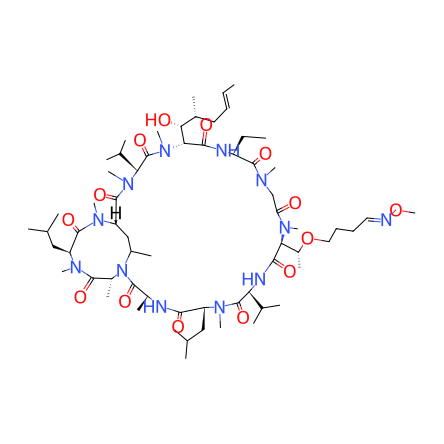 C/C=C/C[C@@H](C)[C@@H](O)[C@@H]1C(=O)N[C@@H](CC)C(=O)N(C)CC(=O)N(C)[C@@H]([C@@H](C)OCCC/C=N/OC)C(=O)N[C@@H](C(C)C)C(=O)N(C)[C@@H](CC(C)C)C(=O)N[C@@H](C)C(=O)N2C(C)C[C@@H](C(=O)N(C)[C@@H](C(C)C)C(=O)N1C)N(C)C(=O)[C@H](CC(C)C)N(C)C(=O)[C@H]2C